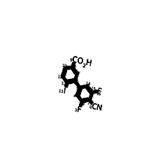 N#Cc1c(F)cc(-c2cc(C(=O)O)ccc2I)cc1F